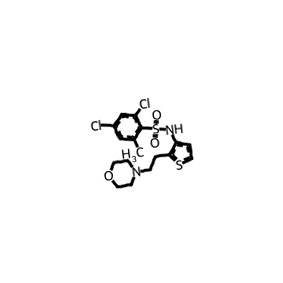 Cc1cc(Cl)cc(Cl)c1S(=O)(=O)Nc1ccsc1CCN1CCOCC1